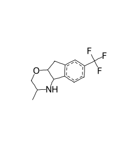 CC1COC2Cc3cc(C(F)(F)F)ccc3C2N1